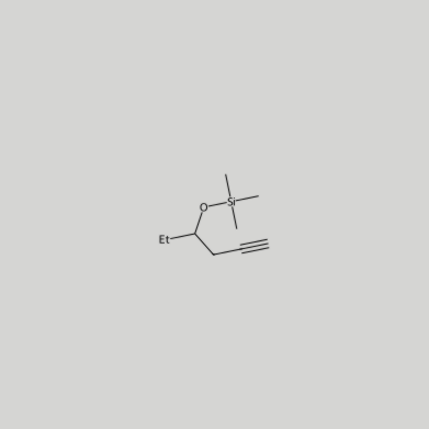 C#CCC(CC)O[Si](C)(C)C